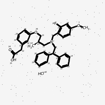 COc1ccc(CN(CC(c2ccccc2)c2ccccc2)C[C@@H](C)COc2cccc(CC(=O)O)c2)c(F)c1.Cl